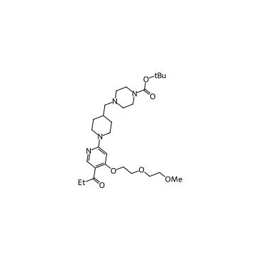 CCC(=O)c1cnc(N2CCC(CN3CCN(C(=O)OC(C)(C)C)CC3)CC2)cc1OCCOCCOC